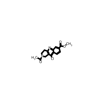 COC(=O)c1ccc2c(Cl)c3c(nc2c1)CCN(C(C)=O)C3